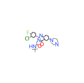 CN1CCCN(c2ccc3nc(-c4ccc(F)c(Cl)c4)n(CC(=O)NC(C)(C)C)c(=O)c3c2)CC1